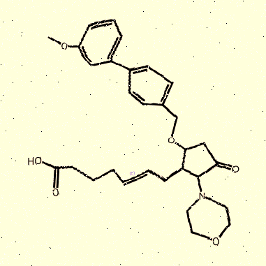 COc1cccc(-c2ccc(COC3CC(=O)C(N4CCOCC4)C3C/C=C/CCCC(=O)O)cc2)c1